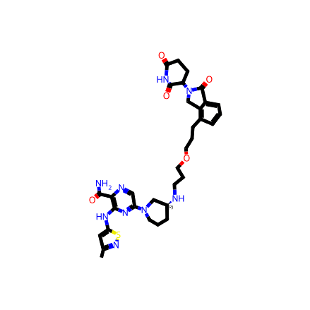 Cc1cc(Nc2nc(N3CCC[C@@H](NCCCOCCCc4cccc5c4CN(C4CCC(=O)NC4=O)C5=O)C3)cnc2C(N)=O)sn1